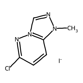 Cn1nc[n+]2nc(Cl)ccc12.[I-]